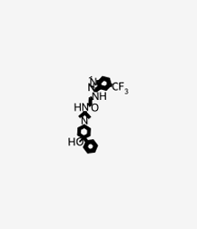 Cn1nc(NCC(=O)NC2CN([C@H]3CC[C@@](O)(c4ccccc4)CC3)C2)c2cc(C(F)(F)F)ccc21